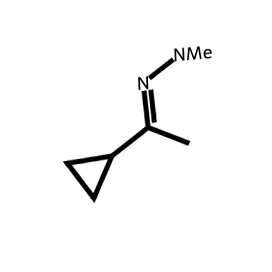 CNN=C(C)C1CC1